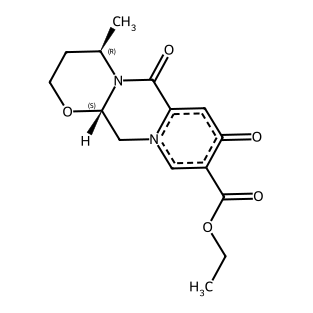 CCOC(=O)c1cn2c(cc1=O)C(=O)N1[C@H](C)CCO[C@H]1C2